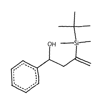 C=C(CC(O)c1ccccc1)[Si](C)(C)C(C)(C)C